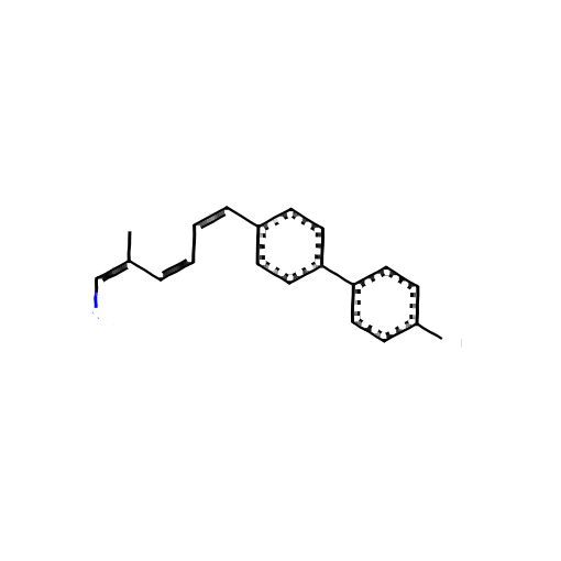 CC(/C=C\C=C/c1ccc(-c2ccc(C)cc2)cc1)=C/N